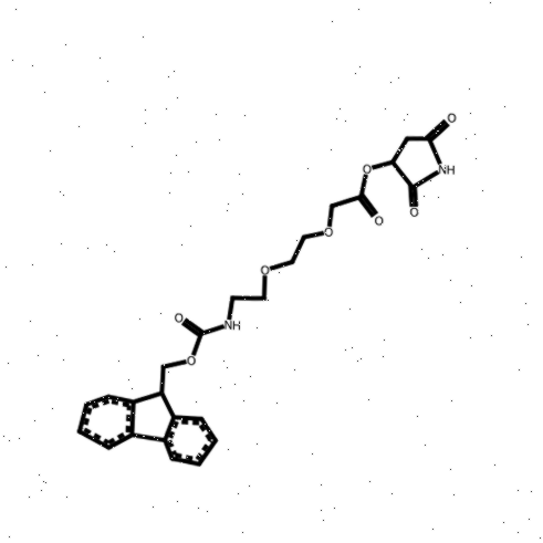 O=C1CC(OC(=O)COCCOCCNC(=O)OCC2c3ccccc3-c3ccccc32)C(=O)N1